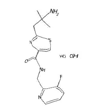 CC(C)(N)Cc1nc(C(=O)NCc2ncccc2F)cs1.Cl.Cl